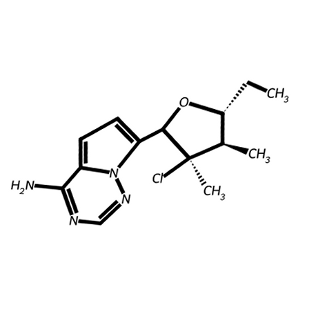 CC[C@H]1OC(c2ccc3c(N)ncnn23)[C@](C)(Cl)[C@@H]1C